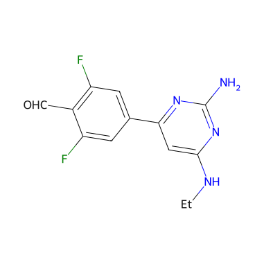 CCNc1cc(-c2cc(F)c(C=O)c(F)c2)nc(N)n1